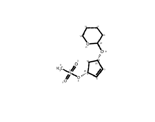 CS(=O)(=O)O[C@H]1C=C[C@@H](OC2CCCCO2)C1